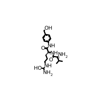 CC(C)[C@H](N)C(=O)N[C@@H](CCCNC(N)O)C(=O)Nc1ccc(CO)cc1